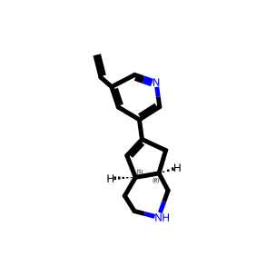 C=Cc1cncc(C2=C[C@@H]3CCNC[C@@H]3C2)c1